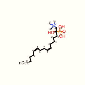 CCCCCCCCCCCCC/C=C\CC/C=C\CCCCC(O)(C[N+](C)(C)C)P(=O)(O)O